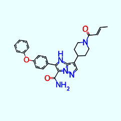 C/C=C/C(=O)N1CCC(c2cnn3c(C(N)=O)c(-c4ccc(Oc5ccccc5)cc4)[nH]c23)CC1